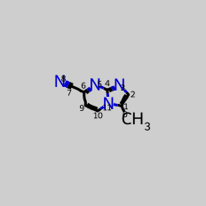 Cc1cnc2nc(C#N)ccn12